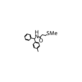 CSCCC(=O)NC(c1ccccc1)c1ccc(C)cc1